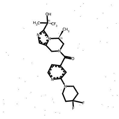 C[C@H]1CN(C(=O)c2ccnc(N3CCC(F)(F)CC3)c2)Cc2cnc([C@@](C)(O)C(F)(F)F)n21